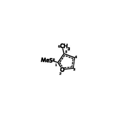 CSc1occc1C